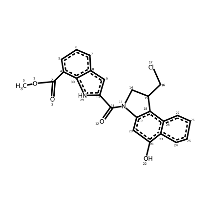 COC(=O)c1cccc2cc(C(=O)N3CC(CCl)c4c3cc(O)c3ccccc43)[nH]c12